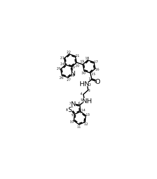 O=C(NCCNc1nsc2ccccc12)c1cccc(-c2cccc3cccnc23)c1